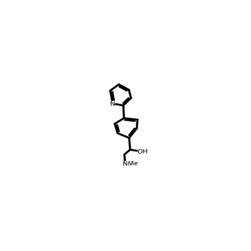 CNCC(O)c1ccc(-c2ccccn2)cc1